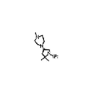 CC(C)N1C[C@@H](N2CCN(C)CC2)CC1(C)C